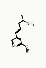 CC(C)Oc1cncc(C=CC[C@@H](C)N)c1